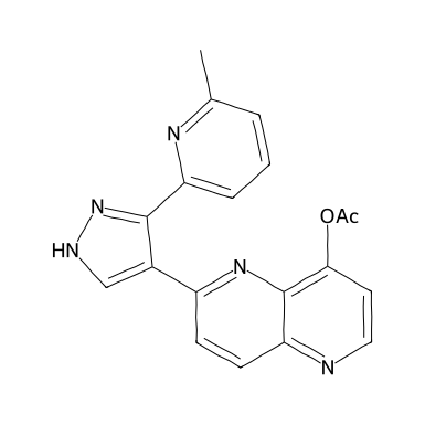 CC(=O)Oc1ccnc2ccc(-c3c[nH]nc3-c3cccc(C)n3)nc12